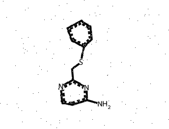 Nc1ccnc(CSc2ccccc2)n1